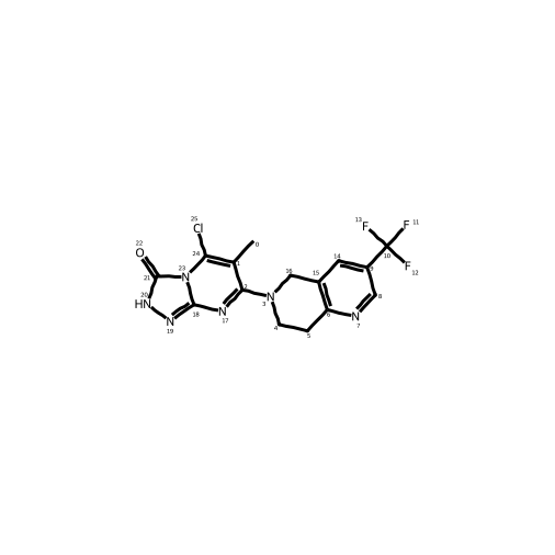 Cc1c(N2CCc3ncc(C(F)(F)F)cc3C2)nc2n[nH]c(=O)n2c1Cl